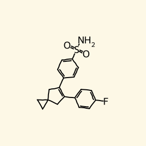 NS(=O)(=O)c1ccc(C2=C(c3ccc(F)cc3)CC3(CC3)C2)cc1